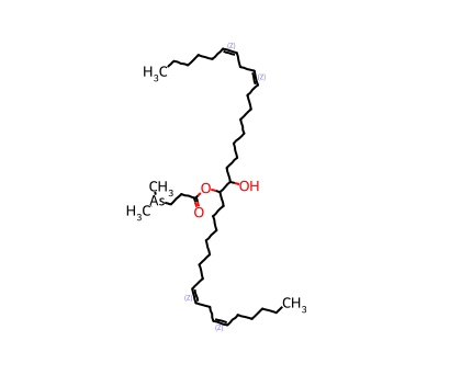 CCCCC/C=C\C/C=C\CCCCCCCC(O)C(CCCCCCC/C=C\C/C=C\CCCCC)OC(=O)CC[As](C)C